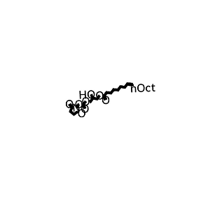 CCCCCCCC/C=C\CCCCCCC(=O)OCC(O)COC(=O)ON1C(=O)CCC1=O